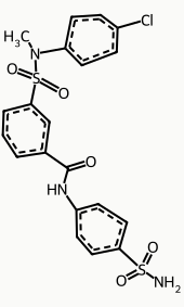 CN(c1ccc(Cl)cc1)S(=O)(=O)c1cccc(C(=O)Nc2ccc(S(N)(=O)=O)cc2)c1